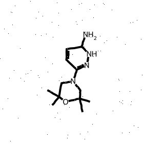 CC1(C)CN(C2=NN[C](N)C=C2)CC(C)(C)O1